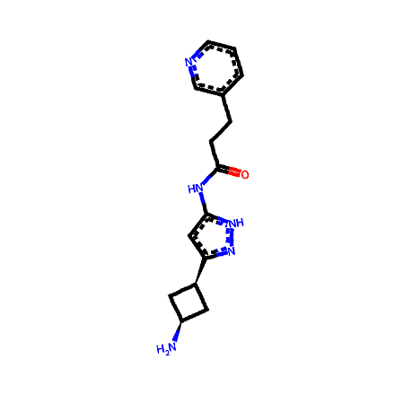 N[C@H]1C[C@@H](c2cc(NC(=O)CCc3cccnc3)[nH]n2)C1